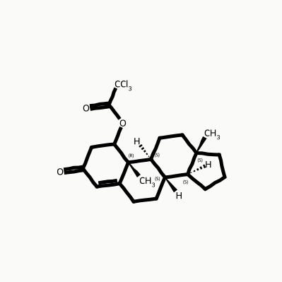 C[C@@]12CCC[C@H]1[C@@H]1CCC3=CC(=O)CC(OC(=O)C(Cl)(Cl)Cl)[C@]3(C)[C@H]1CC2